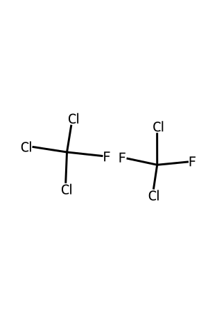 FC(Cl)(Cl)Cl.FC(F)(Cl)Cl